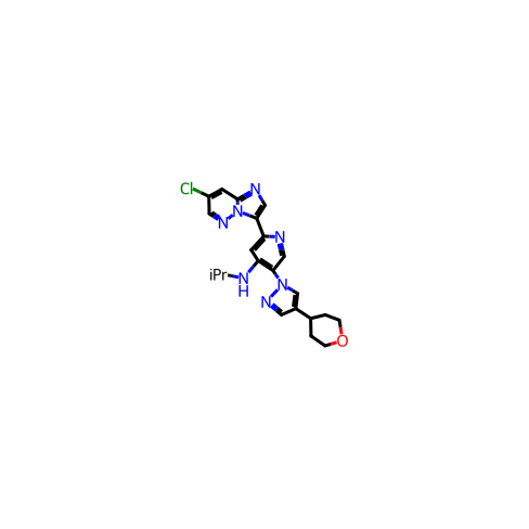 CC(C)Nc1cc(-c2cnc3cc(Cl)cnn23)ncc1-n1cc(C2CCOCC2)cn1